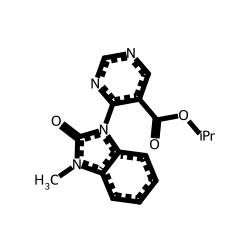 CC(C)OC(=O)c1cncnc1-n1c(=O)n(C)c2ccccc21